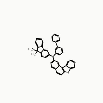 CC1(C)c2ccccc2-c2cc(N(c3cccc(-c4ccccc4)c3)c3ccc4ccc5sc6ccccc6c5c4c3)ccc21